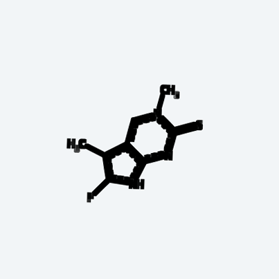 Cc1c(F)[nH]c2nc(=S)n(C)cc12